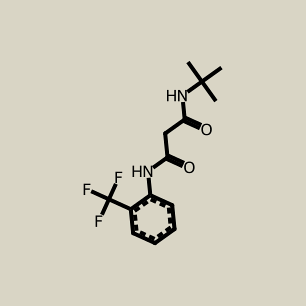 CC(C)(C)NC(=O)CC(=O)Nc1ccccc1C(F)(F)F